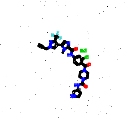 C#CCn1cc(-c2cnc(C(=O)Nc3ccc(C(=O)N4CCN(C(=O)N[C@H]5CCNC5)CC4)c(Cl)c3)n2C)c(C(F)(F)F)n1.Cl